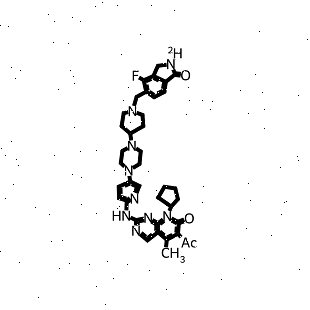 [2H]N1Cc2c(ccc(CN3CCC(N4CCN(c5ccc(Nc6ncc7c(C)c(C(C)=O)c(=O)n(C8CCCC8)c7n6)nc5)CC4)CC3)c2F)C1=O